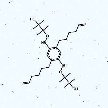 C=CCCCCc1cc(BOC(C)(C)C(C)(C)O)c(CCCCC=C)cc1BOC(C)(C)C(C)(C)O